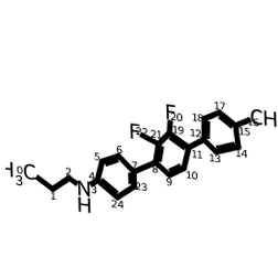 CCCNc1ccc(-c2ccc(-c3ccc(C)cc3)c(F)c2F)cc1